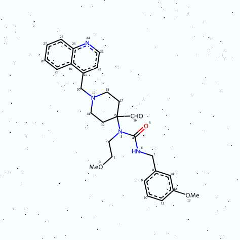 COCCN(C(=O)NCc1cccc(OC)c1)C1(C=O)CCN(Cc2ccnc3ccccc23)CC1